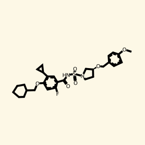 COc1ccc(CO[C@H]2CCN(S(=O)(=O)NC(=O)c3cc(C4CC4)c(OCC4CCCCC4)cc3F)C2)cc1